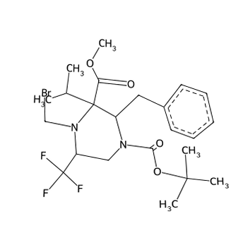 COC(=O)C1(C(C)C)C(Cc2ccccc2)N(C(=O)OC(C)(C)C)CC(C(F)(F)F)N1CBr